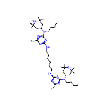 CCCCN(c1nc(Cl)nc(NCCCCCCNc2nc(Cl)nc(N(CCCC)C3CC(C)(C)NC(C)(C)C3)n2)n1)C1CC(C)(C)NC(C)(C)C1